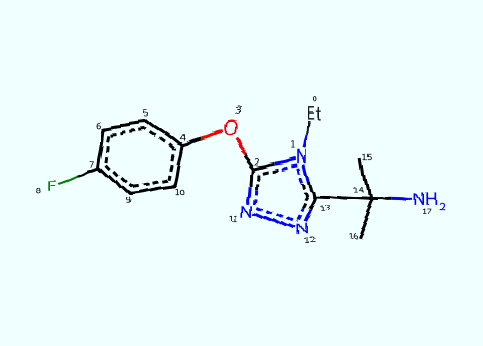 CCn1c(Oc2ccc(F)cc2)nnc1C(C)(C)N